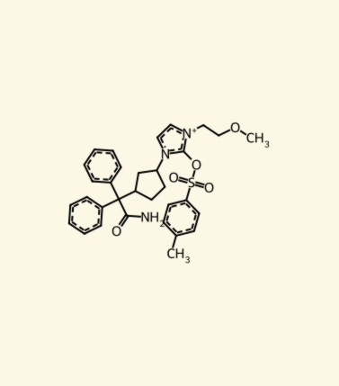 COCC[n+]1ccn(C2CCC(C(C(N)=O)(c3ccccc3)c3ccccc3)C2)c1OS(=O)(=O)c1ccc(C)cc1